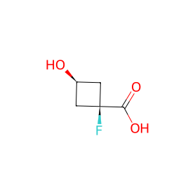 O=C(O)[C@]1(F)C[C@@H](O)C1